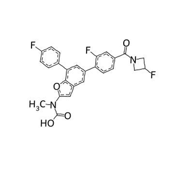 CN(C(=O)O)c1cc2cc(-c3ccc(C(=O)N4CC(F)C4)cc3F)cc(-c3ccc(F)cc3)c2o1